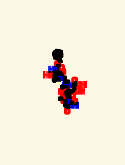 CC(=O)O[C@@H]1[C@H](OC(C)=O)[C@@H](C(O)C(NCCCNC(=O)[C@@H](NC(=O)OCc2ccccc2)[C@@H](O)C(C)C)C(=O)O)O[C@H]1n1ccc(=O)[nH]c1=O